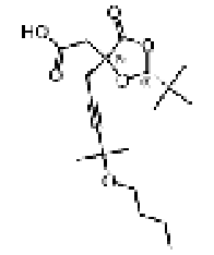 CCCCOC(C)(C)C#CC[C@]1(CC(=O)O)O[C@@H](C(C)(C)C)OC1=O